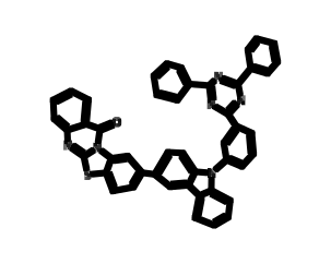 O=c1c2ccccc2nc2sc3ccc(-c4ccc5c(c4)c4ccccc4n5-c4cccc(-c5nc(-c6ccccc6)nc(-c6ccccc6)n5)c4)cc3n12